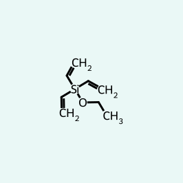 C=C[Si](C=C)(C=C)OCC